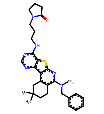 CN(Cc1ccccc1)c1nc2sc3c(NCCCN4CCCC4=O)ncnc3c2c2c1CCC(C)(C)C2